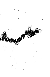 CC(C)S(=O)(=O)Nc1ccc(F)c(C(=O)c2c[nH]c3ncc(-c4ccc(N5CCN(C(=O)C6CC(N7CCC(c8ccc(NC9CCC(=O)NC9=O)cc8)CC7)C6)CC5)nc4)cc23)c1F